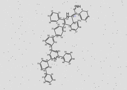 N=C/C(C1=CC=CCC1)=C1\NC(c2ccccc2)=C(c2ccc(-c3cccc(-c4cc(-c5cccc(-c6ccccc6)c5)nc(-c5ccccc5)n4)c3)cc2)C2C=CC=CC12